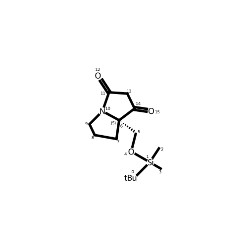 CC(C)(C)[Si](C)(C)OC[C@]12CCCN1C(=O)CC2=O